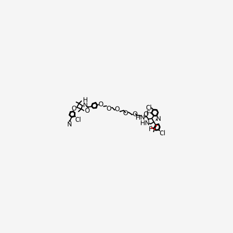 CC(C)(C)C[C@@H]1NC(C(=O)NCCOCCOCCOCCOCCOc2ccc(C(=O)N[C@H]3C(C)(C)[C@H](Oc4ccc(C#N)c(Cl)c4)C3(C)C)cc2)C(c2cccc(Cl)c2F)[C@@]1(C#N)c1ccc(Cl)cc1F